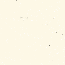 C#CN.c1ccccc1